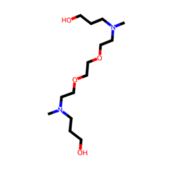 CN(CCCO)CCOCCOCCN(C)CCCO